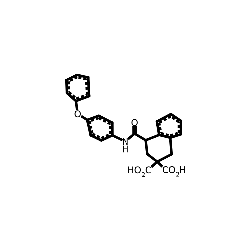 O=C(Nc1ccc(Oc2ccccc2)cc1)C1CC(C(=O)O)(C(=O)O)Cc2ccccc21